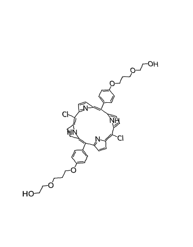 OCCOCCCOc1ccc(-c2c3nc(c(Cl)c4ccc([nH]4)c(-c4ccc(OCCCOCCO)cc4)c4nc(c(Cl)c5ccc2[nH]5)C=C4)C=C3)cc1